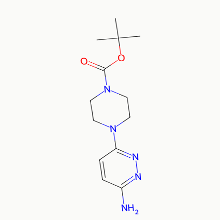 CC(C)(C)OC(=O)N1CCN(c2ccc(N)nn2)CC1